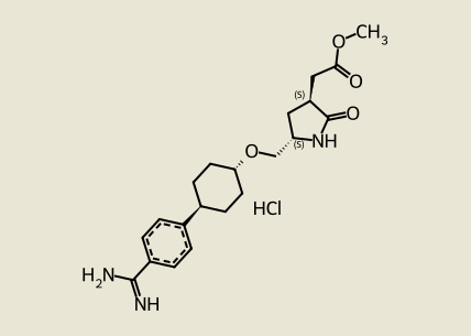 COC(=O)C[C@@H]1C[C@@H](CO[C@H]2CC[C@H](c3ccc(C(=N)N)cc3)CC2)NC1=O.Cl